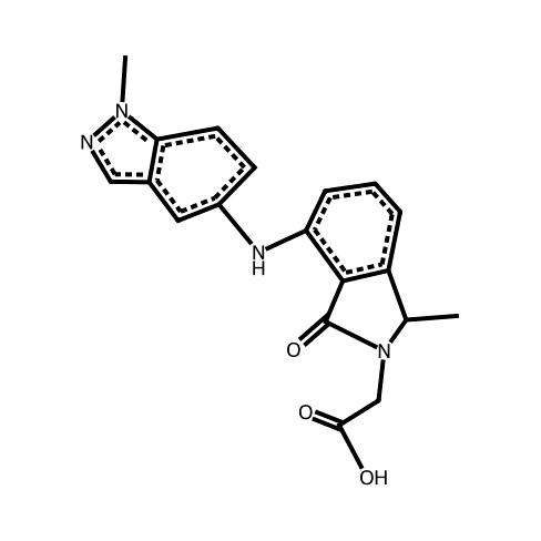 CC1c2cccc(Nc3ccc4c(cnn4C)c3)c2C(=O)N1CC(=O)O